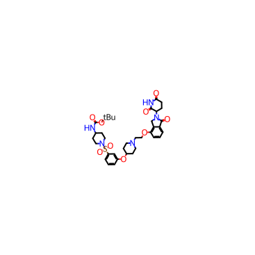 CC(C)(C)OC(=O)NC1CCN(S(=O)(=O)c2cccc(OC3CCN(CCOc4cccc5c4CN(C4CCC(=O)NC4=O)C5=O)CC3)c2)CC1